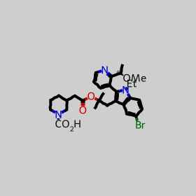 CCn1c(-c2cccnc2[C@H](C)OC)c(CC(C)(C)OC(=O)CC2CCCN(C(=O)O)C2)c2cc(Br)ccc21